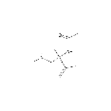 C=C(C)C(C)(CNC)NC(C)=O